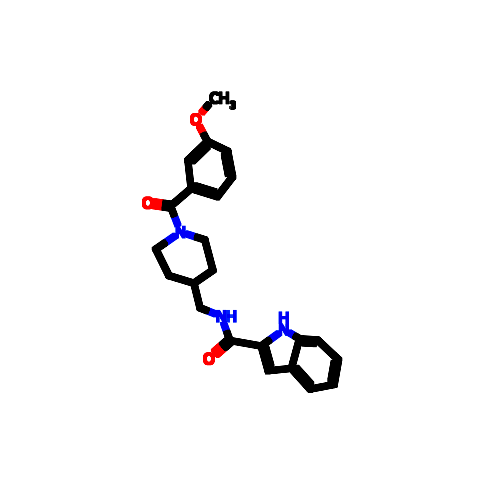 COc1cccc(C(=O)N2CCC(CNC(=O)c3cc4ccccc4[nH]3)CC2)c1